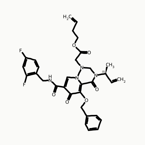 C=CCCOC(=O)CN1CN([C@@H](C)C=C)C(=O)c2c(OCc3ccccc3)c(=O)c(C(=O)NCc3ccc(F)cc3F)cn21